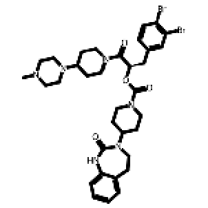 CN1CCN(C2CCN(C(=O)[C@@H](Cc3ccc(Br)c(Br)c3)OC(=O)N3CCC(N4CCc5ccccc5NC4=O)CC3)CC2)CC1